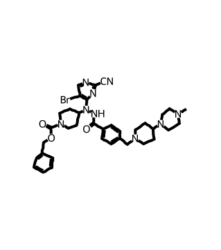 CN1CCN(C2CCN(Cc3ccc(C(=O)NN(c4nc(C#N)ncc4Br)C4CCN(C(=O)OCc5ccccc5)CC4)cc3)CC2)CC1